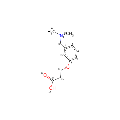 CN(C)Cc1cccc(OCCC(=O)O)c1